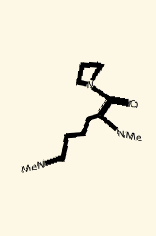 CNCCCCC(NC)C(=O)N1CCC1